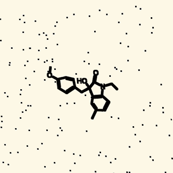 CCN1C(=O)C(O)(Cc2ccc(OC)cc2)c2cc(C)ccc21